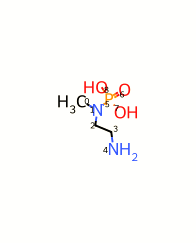 CN(CCN)P(=O)(O)O